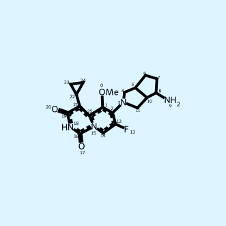 COc1c(N2CC3CCC(N)C3C2)c(F)cn2c(=O)[nH]c(=O)c(C3CC3)c12